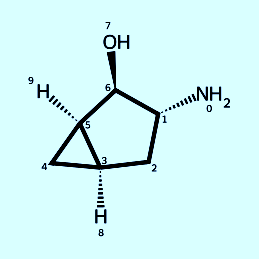 N[C@@H]1C[C@H]2C[C@H]2[C@H]1O